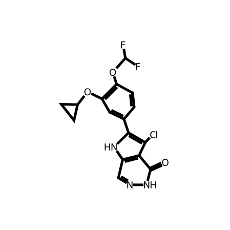 O=c1[nH]ncc2[nH]c(-c3ccc(OC(F)F)c(OC4CC4)c3)c(Cl)c12